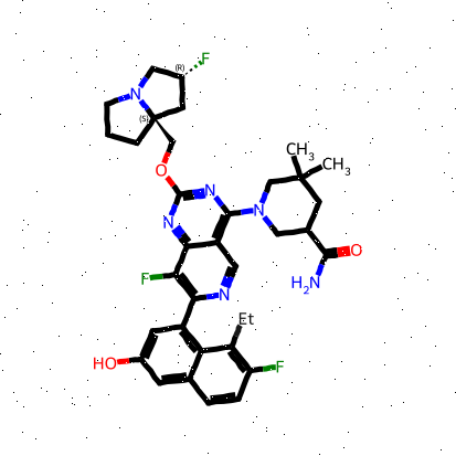 CCc1c(F)ccc2cc(O)cc(-c3ncc4c(N5CC(C(N)=O)CC(C)(C)C5)nc(OC[C@@]56CCCN5C[C@H](F)C6)nc4c3F)c12